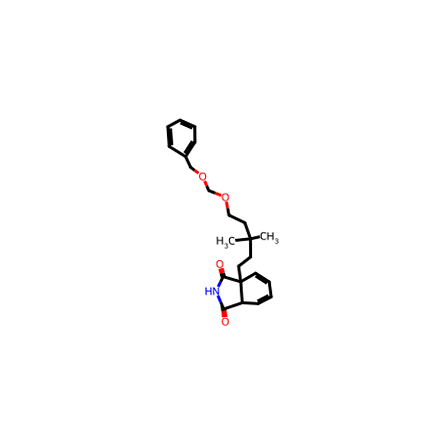 CC(C)(CCOCOCc1ccccc1)CCC12C=CC=CC1C(=O)NC2=O